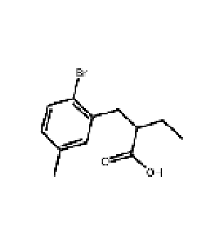 CCC(Cc1cc(C)ccc1Br)C(=O)O